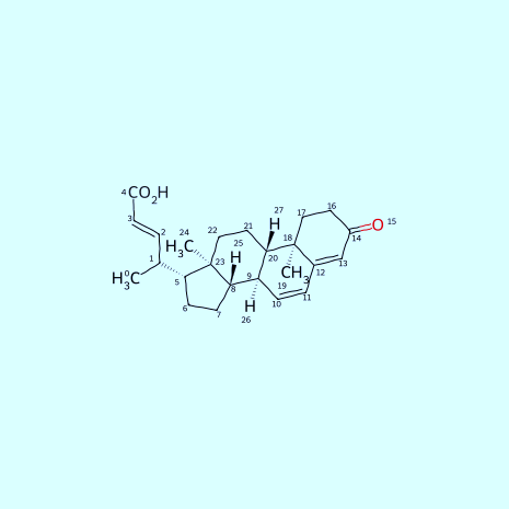 CC(/C=C/C(=O)O)[C@H]1CC[C@H]2[C@@H]3C=CC4=CC(=O)CC[C@]4(C)[C@H]3CC[C@]12C